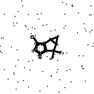 FC1(F)c2[nH]nc(Cl)c2C2CC21